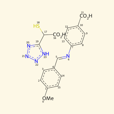 COc1ccc(/C=N/c2ccc(C(=O)O)cc2)cc1.O=C(O)C(S)c1nnn[nH]1